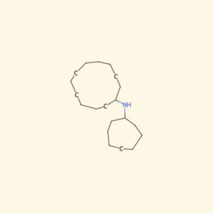 C1CCCCCC(NC2CCCCCCC2)CCCCC1